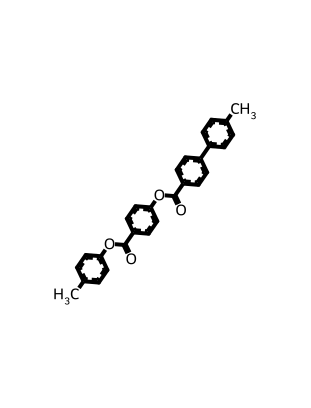 Cc1ccc(OC(=O)c2ccc(OC(=O)c3ccc(-c4ccc(C)cc4)cc3)cc2)cc1